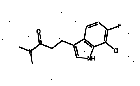 CN(C)C(=O)CCc1c[nH]c2c(Cl)c(F)ccc12